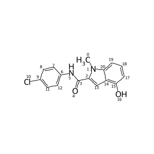 Cn1c(C(=O)Nc2ccc(Cl)cc2)cc2c(O)cccc21